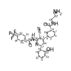 N#Cc1c(-c2cccc(C(=O)NCCN)c2)cc(-c2ccccc2O)nc1NC(=O)c1ccc(C(F)(F)F)cc1